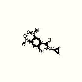 O=C(NC1CC1)c1cc([N+](=O)[O-])c([N+](=O)[O-])cc1Br